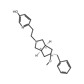 CO[C@@]1(Cc2ccccc2)C[C@H]2CN(CCc3ccc(O)cn3)C[C@H]2C1